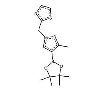 Cc1nn(Cc2nccs2)cc1B1OC(C)(C)C(C)(C)O1